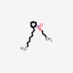 CCCCCCCCc1ccccc1[PH](=O)OCCCC